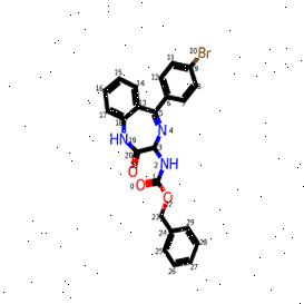 O=C(NC1N=C(c2ccc(Br)cc2)c2ccccc2NC1=O)OCc1ccccc1